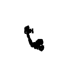 O=C(CCCCCOc1ccc2nc(-c3ccccc3)n(-c3ccccc3)c2c1)Nc1ccccn1